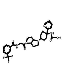 O=C(O)NC1(c2ccccn2)CCC(N2CCC3C2CCN3C(=O)CNC(=O)c2cccc(C(F)(F)F)c2)CC1